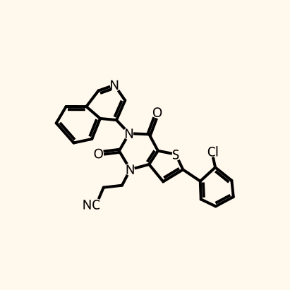 N#CCCn1c(=O)n(-c2cncc3ccccc23)c(=O)c2sc(-c3ccccc3Cl)cc21